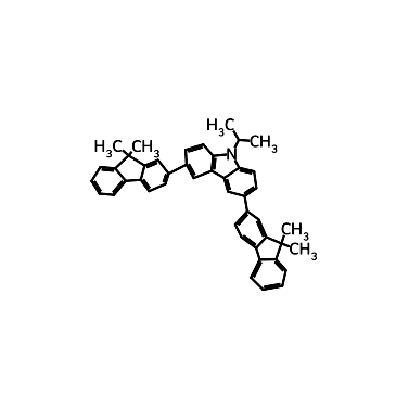 CC(C)n1c2ccc(-c3ccc4c(c3)C(C)(C)c3ccccc3-4)cc2c2cc(-c3ccc4c(c3)C(C)(C)c3ccccc3-4)ccc21